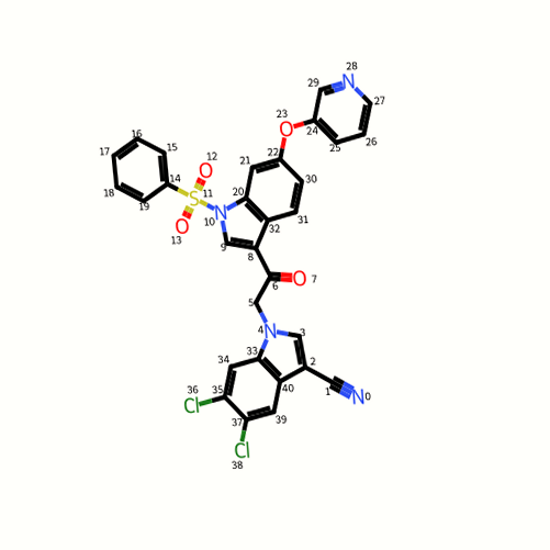 N#Cc1cn(CC(=O)c2cn(S(=O)(=O)c3ccccc3)c3cc(Oc4cccnc4)ccc23)c2cc(Cl)c(Cl)cc12